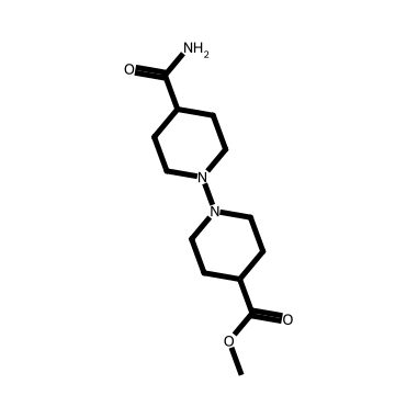 COC(=O)C1CCN(N2CCC(C(N)=O)CC2)CC1